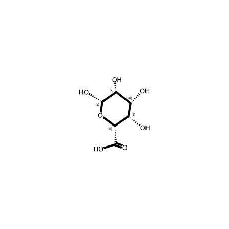 O=C(O)[C@@H]1O[C@H](O)[C@H](O)[C@H](O)[C@@H]1O